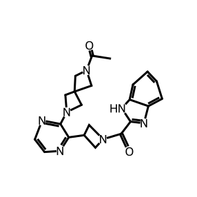 CC(=O)N1CC2(C1)CN(c1nccnc1C1CN(C(=O)c3nc4ccccc4[nH]3)C1)C2